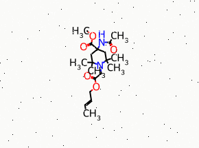 CC=CCOC(=O)CN1C(C)(C)CC(NC(C)=O)(C(=O)OC)CC1(C)C